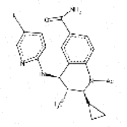 CC(=O)N1c2ccc(C(N)=O)cc2[C@H](Nc2ccc(I)cn2)[C@@H](C)[C@@H]1C1CC1